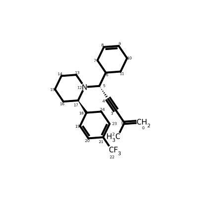 C=C(C)C#C[C@@H](C1CC=CCC1)N1CCCC[C@@H]1C1C=CC(C(F)(F)F)=CC1